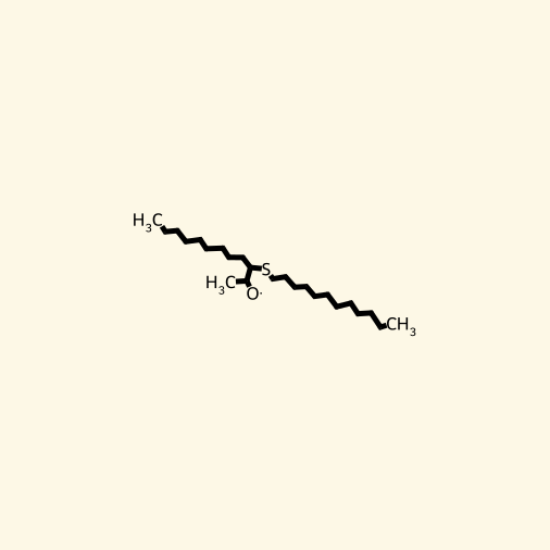 CCCCCCCCCCCCSC(CCCCCCCCC)C(C)[O]